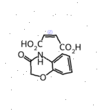 O=C(O)/C=C\C(=O)O.O=C1COc2ccccc2N1